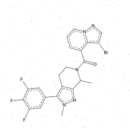 CC1c2nn(C)c(-c3cc(F)c(F)c(F)c3)c2CCN1C(=O)c1cccn2ncc(Br)c12